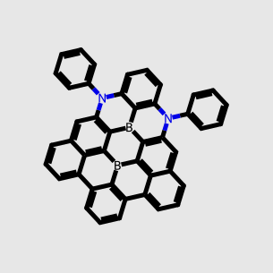 c1ccc(N2c3cccc4c3B3c5c2cc2cccc6c2c5B2c5c-6cccc5-c5cccc6cc(c3c2c56)N4c2ccccc2)cc1